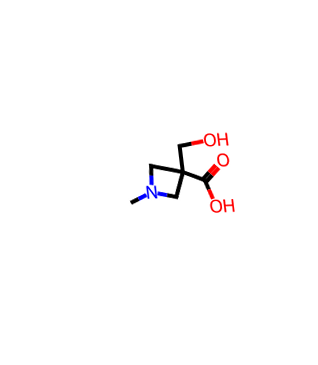 CN1CC(CO)(C(=O)O)C1